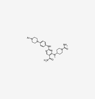 CC(=O)N1CCN(c2ccc(Nc3ncc(C(N)=O)c(N(C)C4CCN(C(N)=O)CC4)n3)cc2)CC1